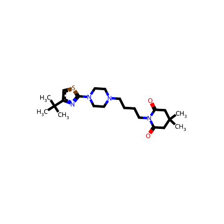 CC1(C)CC(=O)N(CCCCN2CCN(c3nc(C(C)(C)C)cs3)CC2)C(=O)C1